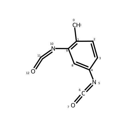 [CH]c1ccc(N=C=O)cc1N=C=O